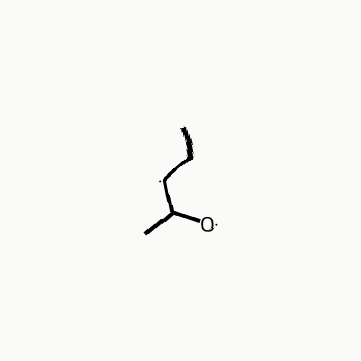 CC[CH]C(C)[O]